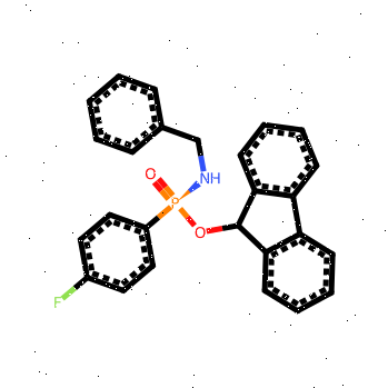 O=[P@](NCc1ccccc1)(OC1c2ccccc2-c2ccccc21)c1ccc(F)cc1